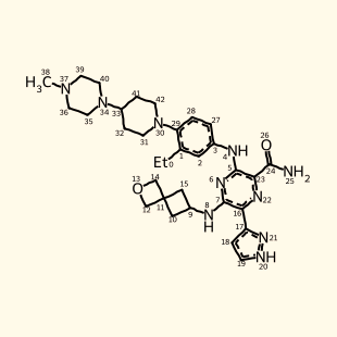 CCc1cc(Nc2nc(NC3CC4(COC4)C3)c(-c3cc[nH]n3)nc2C(N)=O)ccc1N1CCC(N2CCN(C)CC2)CC1